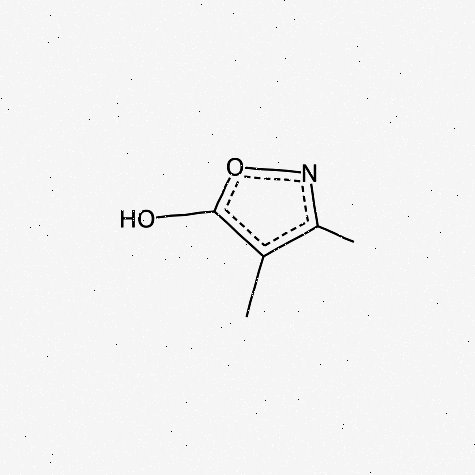 Cc1noc(O)c1C